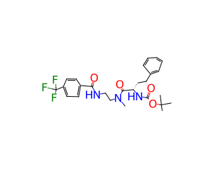 CN(CCNC(=O)c1ccc(C(F)(F)F)cc1)C(=O)[C@H](CCc1ccccc1)NC(=O)OC(C)(C)C